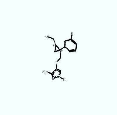 CCn1cc(OC[C@@]2(C3C=CC=C(F)C3)C[C@H]2CO)c(C)n1